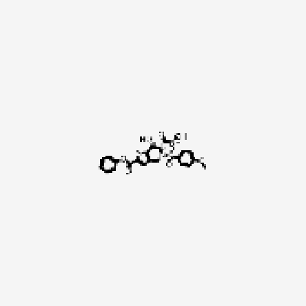 COc1ccc(S(=O)(=O)N2Cc3cc(C(=O)Oc4ccccc4)sc3[C@H](O)[C@@H]2C(=O)NO)cc1